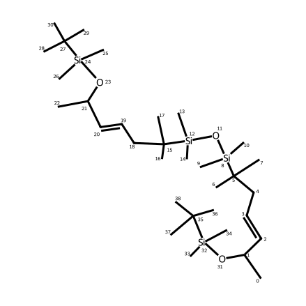 CC(C=CCC(C)(C)[Si](C)(C)O[Si](C)(C)C(C)(C)CC=CC(C)O[Si](C)(C)C(C)(C)C)O[Si](C)(C)C(C)(C)C